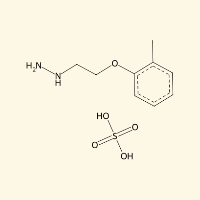 Cc1ccccc1OCCNN.O=S(=O)(O)O